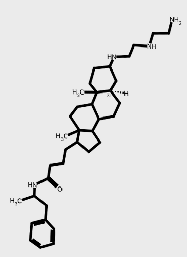 CC(Cc1ccccc1)NC(=O)CCCC1CCC2C3CC[C@@H]4CC(NCCNCCN)CCC4(C)C3CCC12C